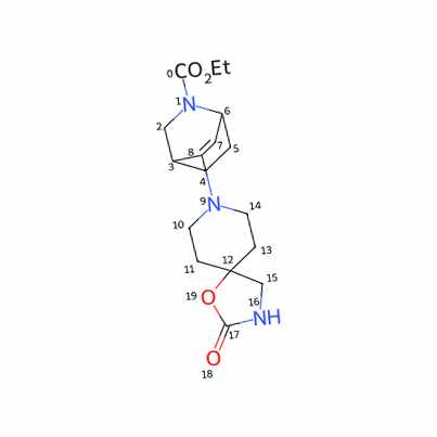 CCOC(=O)N1CC2CCC1C=C2N1CCC2(CC1)CNC(=O)O2